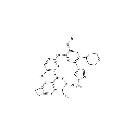 CCOc1cc(N2CCOCC2)c(-c2cnn(C)c2)cc1Nc1ncc(Br)c(Nc2cc3c(cc2N(C)[S+](C)[O-])CC3)n1